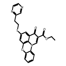 CCOC(=O)c1cn2c3c(cc(SCCc4cnccn4)cc3c1=O)Oc1ccccc1-2